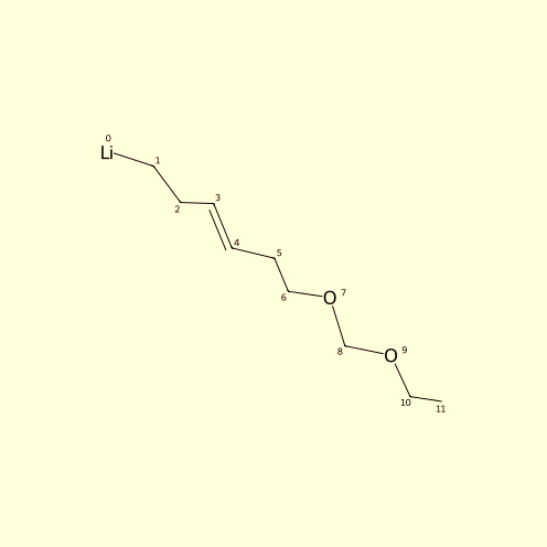 [Li][CH2]CC=CCCOCOCC